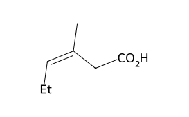 CCC=C(C)CC(=O)O